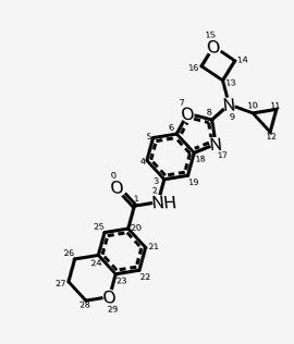 O=C(Nc1ccc2oc(N(C3CC3)C3COC3)nc2c1)c1ccc2c(c1)CCCO2